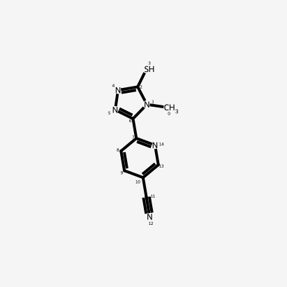 Cn1c(S)nnc1-c1ccc(C#N)cn1